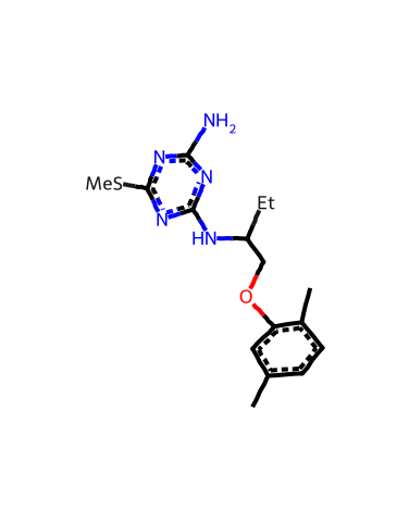 CCC(COc1cc(C)ccc1C)Nc1nc(N)nc(SC)n1